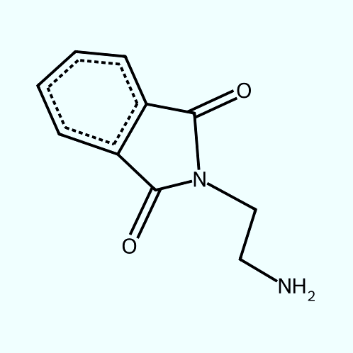 NCCN1C(=O)c2ccccc2C1=O